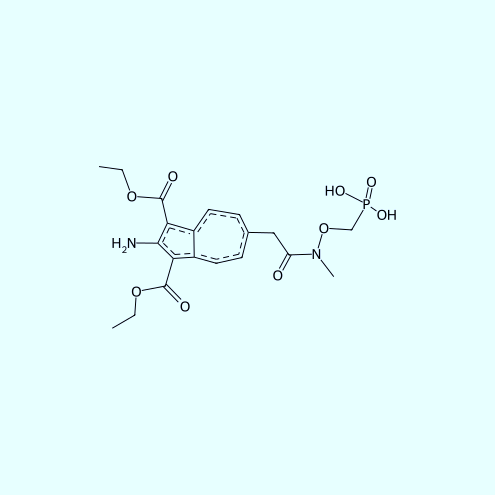 CCOC(=O)c1c2ccc(CC(=O)N(C)OCP(=O)(O)O)ccc-2c(C(=O)OCC)c1N